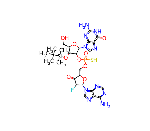 CC(C)(C)[Si](C)(C)OC1C(OP(=O)(S)OC[C@H]2O[C@@H](n3cnc4c(N)ncnc43)C(F)C2=O)[C@H](n2cnc3c(=O)[nH]c(N)nc32)O[C@@H]1CO